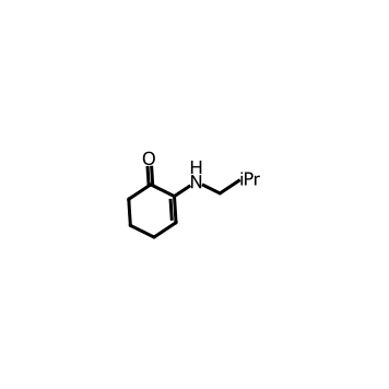 CC(C)CNC1=CCCCC1=O